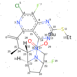 C=C1c2nc(Cl)c(F)c3nc(SCC)nc(c23)N2C[C@@]3(F)CC[C@@H]([C@@H]2[C@H]1C)N3C(=O)OC(C)(C)C